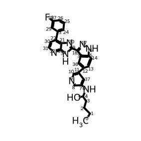 CCCCC(O)Nc1cncc(-c2ccc3[nH]nc(-c4nc5c(-c6cccc(F)c6)ccnc5[nH]4)c3c2)c1